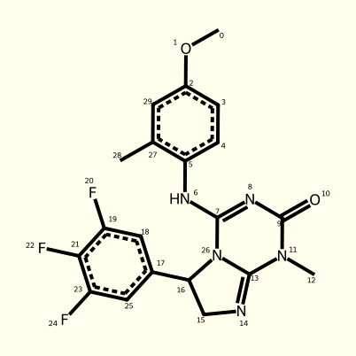 COc1ccc(NC2=NC(=O)N(C)C3=NCC(c4cc(F)c(F)c(F)c4)N23)c(C)c1